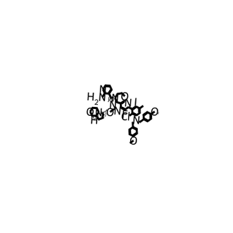 COc1ccc(CN(Cc2ccc(OC)cc2)c2cc(C)c(I)c(-c3nc4c5c(nc(OC[C@@H]6CC[C@H]7COCCN76)nc5c3F)N([C@H](C)c3cccnc3N)CCO4)c2Cl)cc1